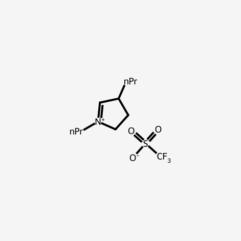 CCCC1C=[N+](CCC)CC1.O=S(=O)([O-])C(F)(F)F